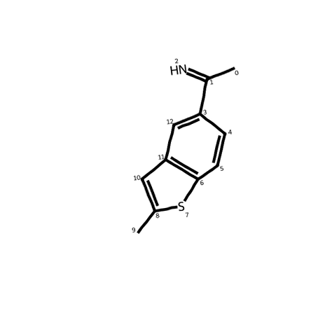 CC(=N)c1ccc2sc(C)cc2c1